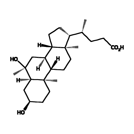 C[C@H](CCC(=O)O)[C@H]1CC[C@H]2[C@@H]3C[C@](C)(O)[C@@H]4C[C@H](O)CC[C@]4(C)[C@H]3CC[C@]12C